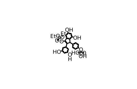 CCOP(=O)(OCC)OC1=C(c2cc(O)cc(O)c2)C(c2ccc(OP(=O)(O)O)cc2)c2c(O)cc(O)cc21